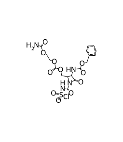 NC(=O)OCCOC(=O)OCC1C(NC(=O)OCc2ccccc2)C(=O)N1C(=O)NS(=O)(=O)Cl